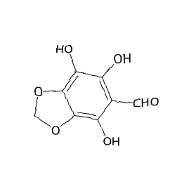 O=Cc1c(O)c(O)c2c(c1O)OCO2